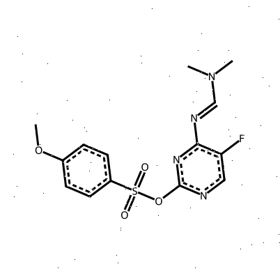 COc1ccc(S(=O)(=O)Oc2ncc(F)c(/N=C/N(C)C)n2)cc1